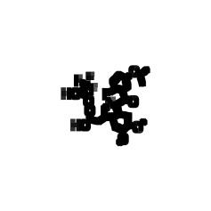 COc1cc2c(CC(=O)O)cnc(C(=O)c3cc(OC(C)C)ccc3F)c2cc1OC.O=C(O)C(F)(F)F